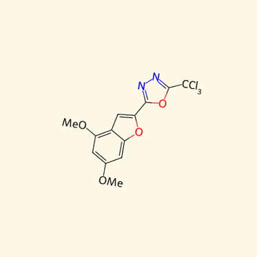 COc1cc(OC)c2cc(-c3nnc(C(Cl)(Cl)Cl)o3)oc2c1